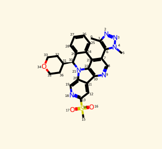 Cc1nnn(C)c1-c1cnc2c3cc(S(C)(=O)=O)ncc3n3c2c1-c1ccccc1[C@@H]3C1CCOCC1